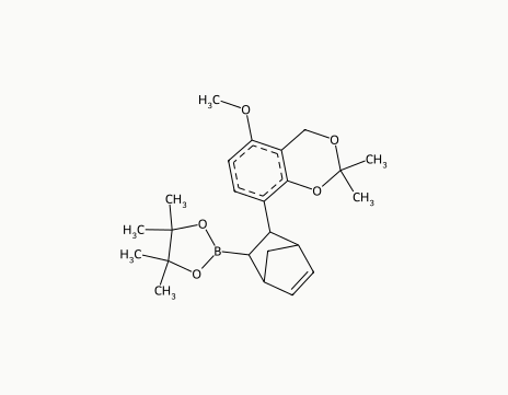 COc1ccc(C2C3C=CC(C3)C2B2OC(C)(C)C(C)(C)O2)c2c1COC(C)(C)O2